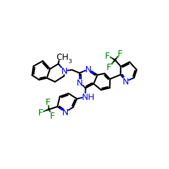 CC1c2ccccc2CCN1Cc1nc(Nc2ccc(C(F)(F)F)nc2)c2ccc(-c3ncccc3C(F)(F)F)cc2n1